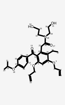 C=CCOc1cc(OCC=C)c(C(=O)c2ccc(OC(C)C)cc2)c(CC(=O)N(CCO)CCO)c1CC